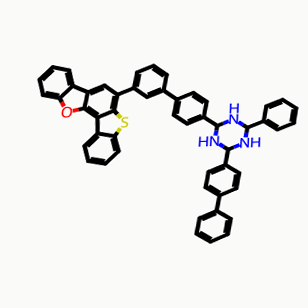 c1ccc(-c2ccc(C3NC(c4ccccc4)NC(c4ccc(-c5cccc(-c6cc7c8ccccc8oc7c7c6sc6ccccc67)c5)cc4)N3)cc2)cc1